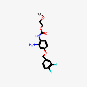 COCCOC(=O)Nc1ccc(OCc2ccc(F)c(F)c2)cc1N